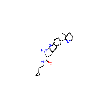 Cc1cccnc1-c1ccc2nc(N)c(CC(C)C(=O)NCCC3CC3)cc2c1